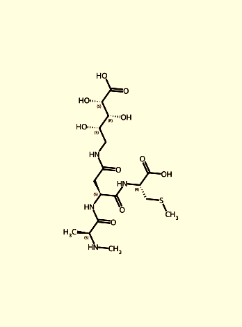 CN[C@@H](C)C(=O)N[C@@H](CC(=O)NC[C@H](O)[C@@H](O)[C@H](O)C(=O)O)C(=O)N[C@@H](CSC)C(=O)O